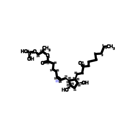 CCCCCCCC(=O)CC[C@@H]1[C@@H](C/C=C\CCCC(=O)OC(C)CON(O)O)[C@@H](O)C[C@H]1O